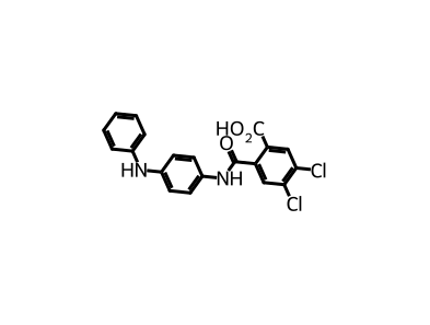 O=C(O)c1cc(Cl)c(Cl)cc1C(=O)Nc1ccc(Nc2ccccc2)cc1